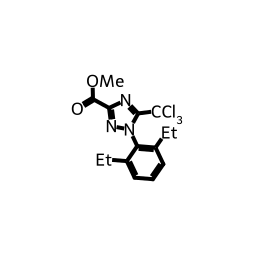 CCc1cccc(CC)c1-n1nc(C(=O)OC)nc1C(Cl)(Cl)Cl